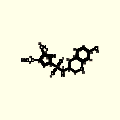 CCOC(=O)c1cc(S(=O)(=O)NC2COc3cc(Cl)ccc3C2)[nH]c1C